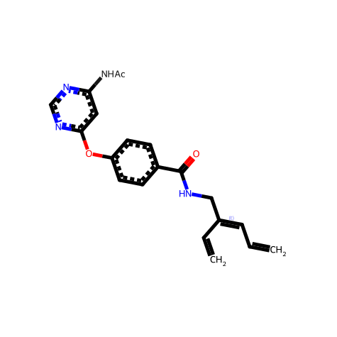 C=C/C=C(\C=C)CNC(=O)c1ccc(Oc2cc(NC(C)=O)ncn2)cc1